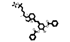 C[C@H](CCCC(C)(C)O[Si](C)(C)C)[C@H]1CC[C@H]2/C(=C/C=C3C[C@@H](OC(=O)c4ccccc4)C(Br)[C@H](OC(=O)c4ccccc4)C3)CCC[C@]12C